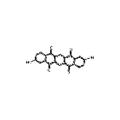 O=c1c2ccc(O)cc2c(=O)c2cc3c(=O)c4ccc(O)cc4c(=O)c3cc12